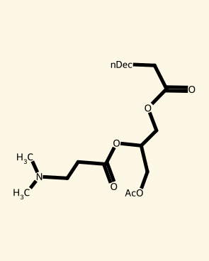 CCCCCCCCCCCC(=O)OCC(COC(C)=O)OC(=O)CCN(C)C